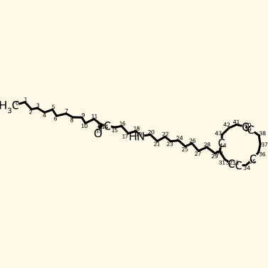 CCCCCCCCCCCCC(=O)CCCCCNCCCCCCCCCCC1CCCCCCCCCCCCCC1